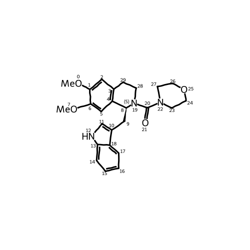 COc1cc2c(cc1OC)[C@H](Cc1c[nH]c3ccccc13)N(C(=O)N1CCOCC1)CC2